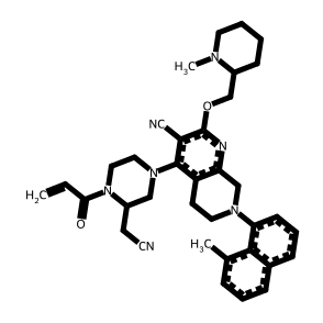 C=CC(=O)N1CCN(c2c(C#N)c(OCC3CCCCN3C)nc3c2CCN(c2cccc4cccc(C)c24)C3)CC1CC#N